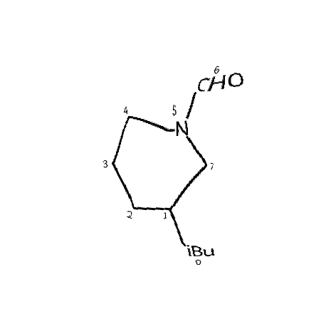 CCC(C)C1CCCN(C=O)C1